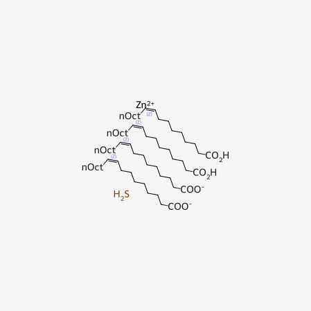 CCCCCCCC/C=C\CCCCCCCC(=O)O.CCCCCCCC/C=C\CCCCCCCC(=O)O.CCCCCCCC/C=C\CCCCCCCC(=O)[O-].CCCCCCCC/C=C\CCCCCCCC(=O)[O-].S.[Zn+2]